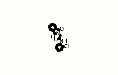 O=C(CN1C(=O)c2ccccc2C1=O)Nc1ccccc1Cl